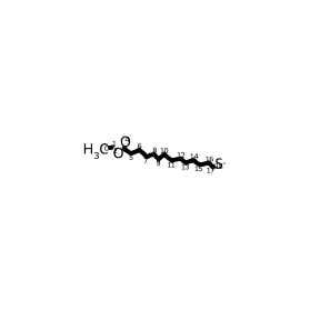 CCOC(=O)CCCCCCCCCCCCC[S]